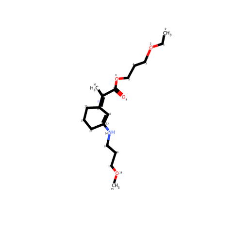 CCOCCCOC(=O)/C(C)=C1\C=C(NCCCOC)CCC1